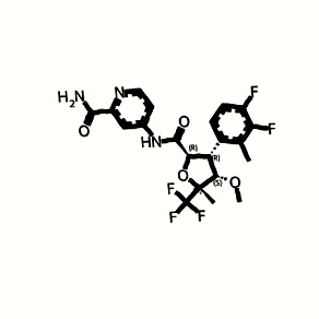 CO[C@H]1[C@@H](c2ccc(F)c(F)c2C)[C@H](C(=O)Nc2ccnc(C(N)=O)c2)O[C@@]1(C)C(F)(F)F